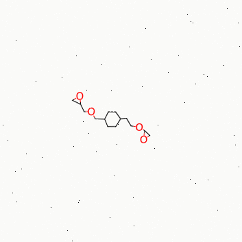 C(CC1CCC(COCC2CO2)CC1)OC1CO1